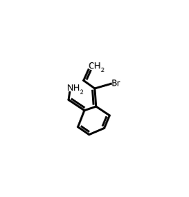 C=C/C(Br)=c1/cccc/c1=C/N